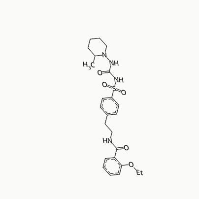 CCOc1ccccc1C(=O)NCCc1ccc(S(=O)(=O)NC(=O)NN2CCCCC2C)cc1